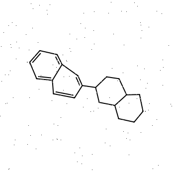 [c]1ccc2cc(C3CCC4C[CH]CCC4C3)ccc2c1